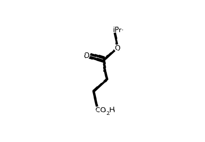 C[C](C)OC(=O)CCC(=O)O